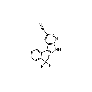 N#Cc1cnc2[nH]cc(-c3ccccc3C(F)(F)F)c2c1